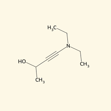 CCN(C#CC(C)O)CC